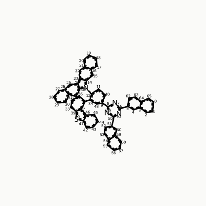 c1ccc2cc(-c3nc(-c4ccc(-n5c6cc7ccccc7cc6c6cc7ccccc7cc65)c(-c5cccc6sc7ccccc7c56)c4)nc(-c4ccc5ccccc5c4)n3)ccc2c1